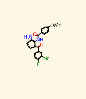 COc1ccc(C(=O)Nc2c(N)cccc2C(=O)c2ccc(F)c(Br)c2)cc1